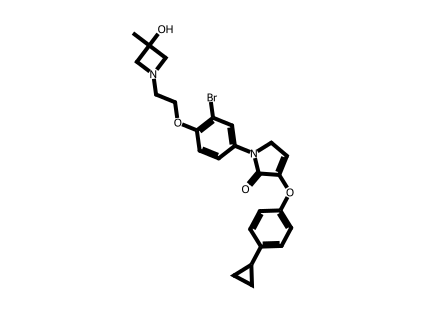 CC1(O)CN(CCOc2ccc(N3CC=C(Oc4ccc(C5CC5)cc4)C3=O)cc2Br)C1